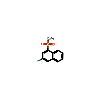 [CH2]OS(=O)(=O)c1cc(F)cc2ccccc12